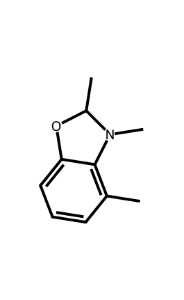 Cc1cccc2c1N(C)C(C)O2